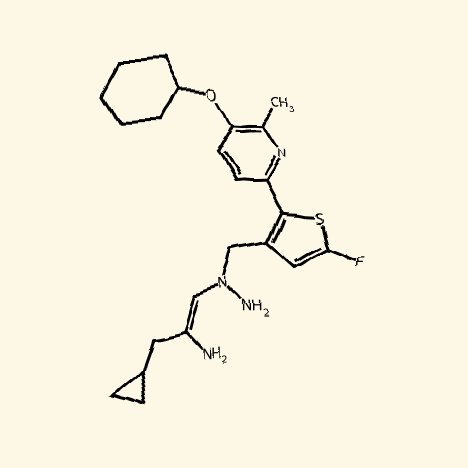 Cc1nc(-c2sc(F)cc2CN(N)/C=C(\N)CC2CC2)ccc1OC1CCCCC1